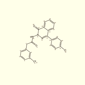 O=C(Cc1cccc(C(F)(F)F)c1)Nn1nc(-c2ccc(Cl)cc2)c2ccccc2c1=O